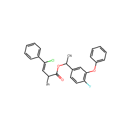 CC(C)C(C=C(Cl)c1ccccc1)C(=O)OC(C#N)c1ccc(F)c(Oc2ccccc2)c1